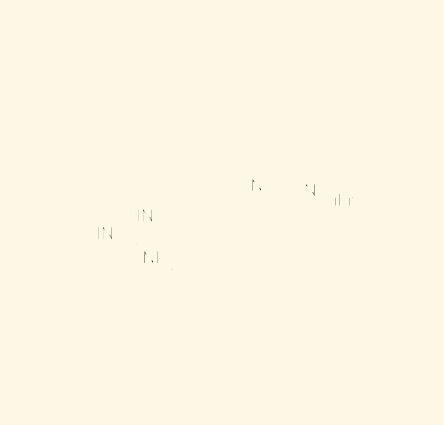 CC(C)N1CCN(c2cccc(CNC(=N)N)c2)CC1